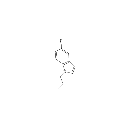 CCCn1ccc2cc(F)ccc21